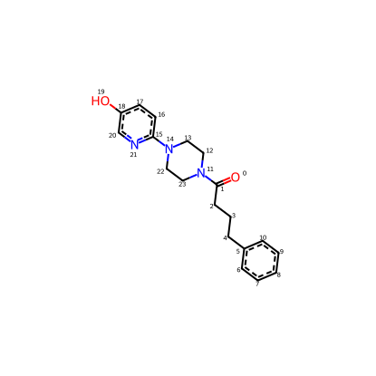 O=C(CCCc1ccccc1)N1CCN(c2ccc(O)cn2)CC1